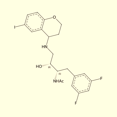 CC(=O)N[C@@H](Cc1cc(F)cc(F)c1)[C@H](O)CNC1CCOc2ccc(I)cc21